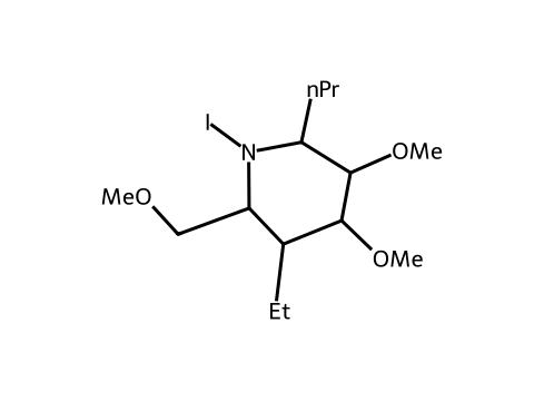 CCCC1C(OC)C(OC)C(CC)C(COC)N1I